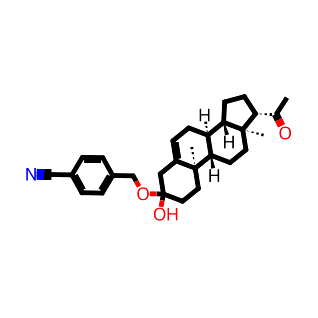 CC(=O)[C@H]1CC[C@H]2[C@@H]3CC=C4CC(O)(OCc5ccc(C#N)cc5)CC[C@]4(C)[C@H]3CC[C@]12C